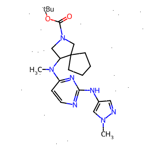 CN(c1ccnc(Nc2cnn(C)c2)n1)C1CN(C(=O)OC(C)(C)C)CC12CCCC2